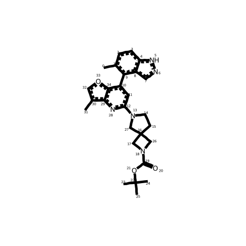 Cc1ccc2[nH]ncc2c1-c1cc(N2CCC3(CN(C(=O)OC(C)(C)C)C3)C2)nc2c(C)coc12